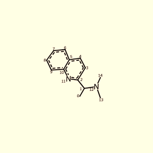 CC(c1ccc2ccccc2n1)N(C)C